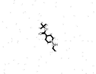 CCNN1CCC(C(=O)OC(C)(C)C)CC1